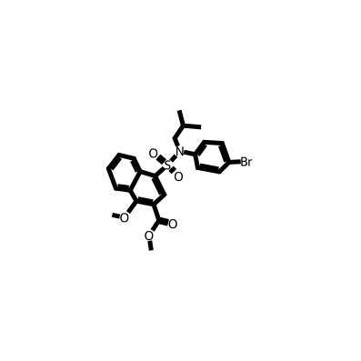 COC(=O)c1cc(S(=O)(=O)N(CC(C)C)c2ccc(Br)cc2)c2ccccc2c1OC